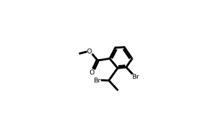 COC(=O)c1cccc(Br)c1C(C)Br